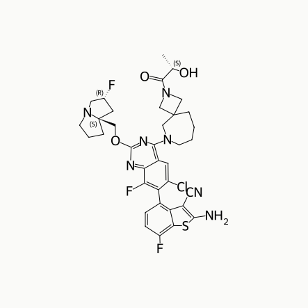 C[C@H](O)C(=O)N1CC2(CCCCN(c3nc(OC[C@@]45CCCN4C[C@H](F)C5)nc4c(F)c(-c5ccc(F)c6sc(N)c(C#N)c56)c(Cl)cc34)C2)C1